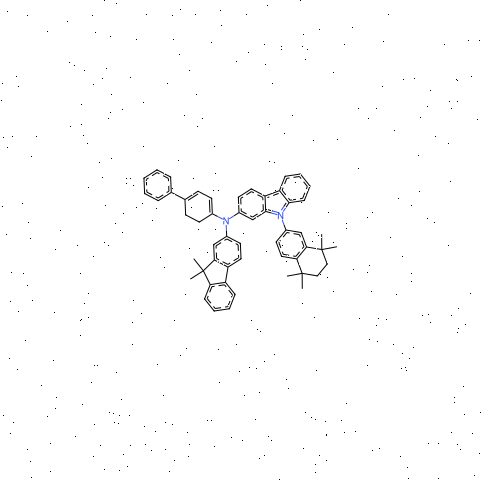 CC1(C)CCC(C)(C)c2cc(-n3c4ccccc4c4ccc(N(C5=CC=C(c6ccccc6)CC5)c5ccc6c(c5)C(C)(C)c5ccccc5-6)cc43)ccc21